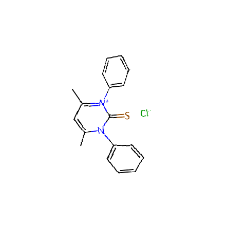 Cc1cc(C)[n+](-c2ccccc2)c(=S)n1-c1ccccc1.[Cl-]